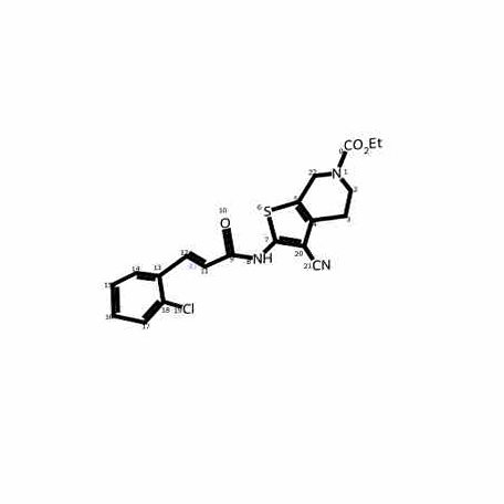 CCOC(=O)N1CCc2c(sc(NC(=O)/C=C/c3ccccc3Cl)c2C#N)C1